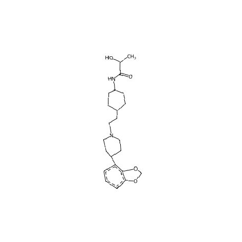 CC(O)C(=O)NC1CCC(CCN2CCC(c3cccc4c3OCO4)CC2)CC1